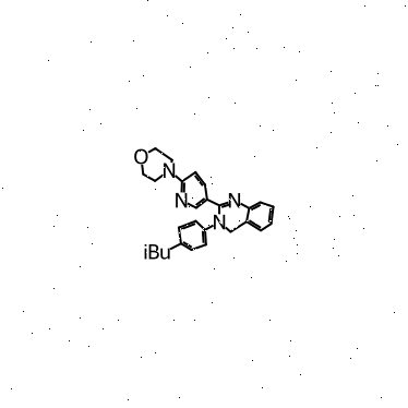 CCC(C)c1ccc(N2Cc3ccccc3N=C2c2ccc(N3CCOCC3)nc2)cc1